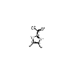 Cc1nc(C(=O)Cl)oc1C